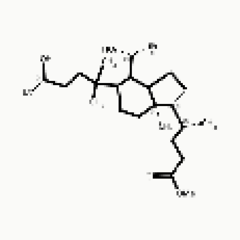 CC[C@H](O)CCC(C)(C)C1CC[C@@]2(C)C(CC[C@@H]2[C@H](C)CCC(=O)OC)C1[C@H](O)[C@@H](C)CC